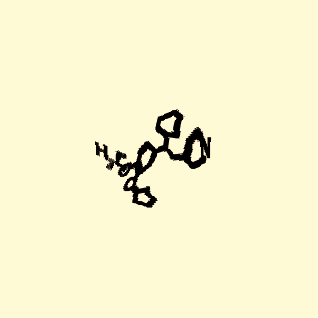 COc1ccc([C@H](Cc2ccncc2)C2C=CC=CC2)cc1OC1CCCC1